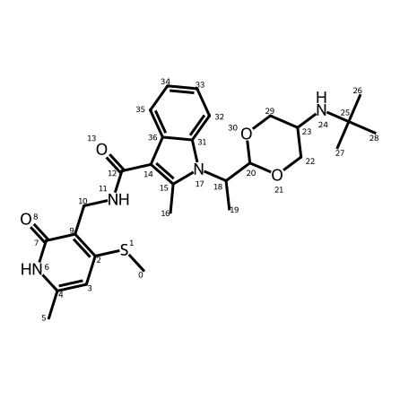 CSc1cc(C)[nH]c(=O)c1CNC(=O)c1c(C)n(C(C)C2OCC(NC(C)(C)C)CO2)c2ccccc12